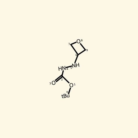 CC(C)(C)OC(=O)NNC1COC1